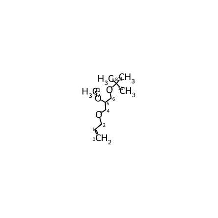 C=CCOCC(COC(C)(C)C)OC